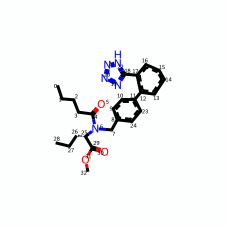 CCCCC(=O)N(Cc1ccc(-c2ccccc2-c2nnn[nH]2)cc1)[C@@H](CCC)C(=O)OC